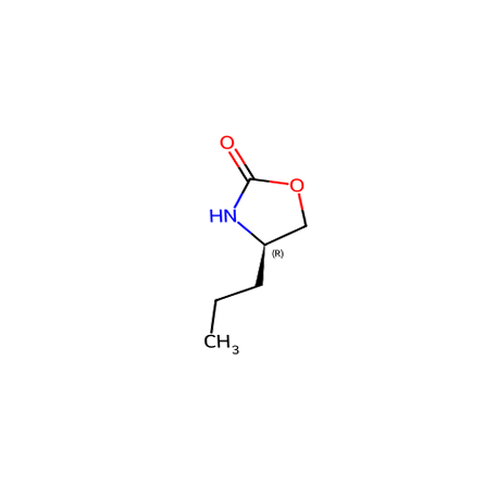 CCC[C@@H]1COC(=O)N1